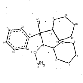 [SiH3]OC(C1CCCCC1)C(Cl)(c1ccccc1)C1CCCCC1